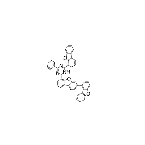 c1cccc(C2=NC(c3cccc4c3oc3cc(-c5cccc6oc7c(c56)C=CCC7)ccc34)NC(C3CC=Cc4c3oc3ccccc43)=N2)c#1